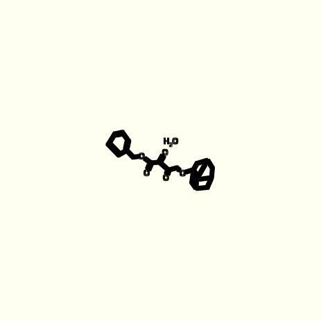 O.O=C(COC12CC3CC(CC(C3)C1)C2)C(=O)C(=O)OCc1ccccc1